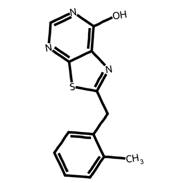 Cc1ccccc1Cc1nc2c(O)ncnc2s1